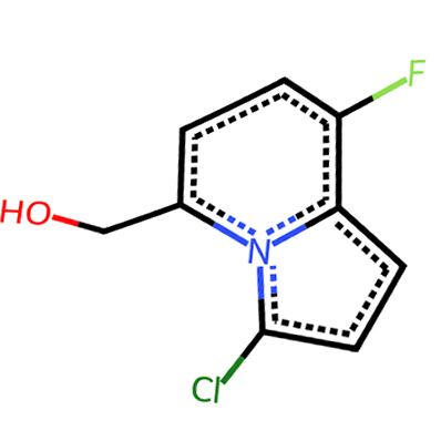 OCc1ccc(F)c2ccc(Cl)n12